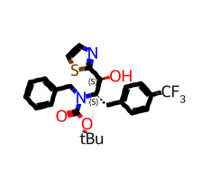 CC(C)(C)OC(=O)N(Cc1ccccc1)[C@@H](Cc1ccc(C(F)(F)F)cc1)[C@H](O)c1nccs1